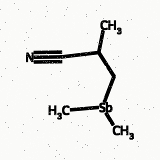 CC(C#N)[CH2][Sb]([CH3])[CH3]